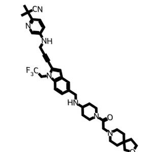 CC(C)(C#N)c1ccc(NCC#Cc2cc3cc(CNC4CCN(C(=O)CN5CCC6(CCOC6)CC5)CC4)ccc3n2CC(F)(F)F)cn1